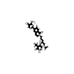 Nc1nc(-c2cc3ccn(CCCC(COC(F)F)Nc4cn[nH]c(=O)c4C(F)(F)F)c(=O)c3cc2F)ncc1Cl